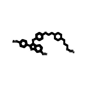 CC(=O)Oc1ccc(-c2sc3cc(OC(C)=O)ccc3c2Oc2ccc(OCCN3CCC(CCCO[N+](=O)[O-])CC3)cc2)cc1